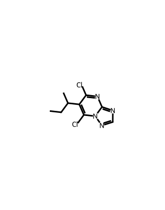 CCC(C)c1c(Cl)nc2ncnn2c1Cl